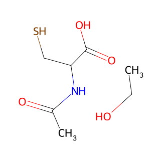 CC(=O)NC(CS)C(=O)O.CCO